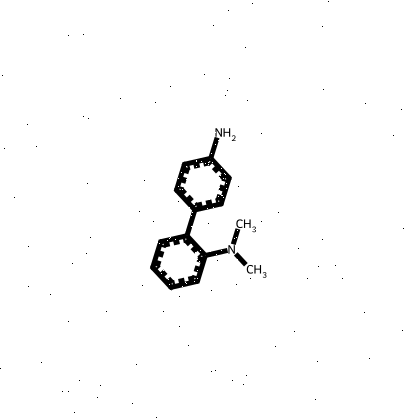 CN(C)c1c[c]ccc1-c1ccc(N)cc1